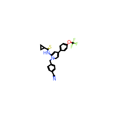 N#Cc1ccc(CN2CC=C(c3ccc(OC(F)(F)F)cc3)C=C2NC(=S)C2CC2)cc1